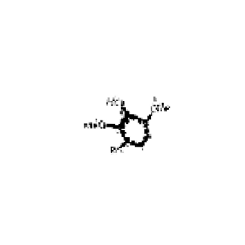 COc1ccc(Br)c(OC)c1O